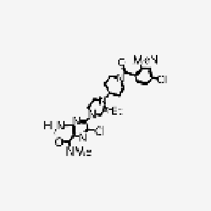 CC[C@H]1CN(c2nc(N)c(C(=O)NC)nc2Cl)CCN1C1CCN(C(=O)c2ccc(Cl)cc2NC)CC1